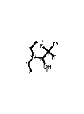 CCN(CC)C(O)C(F)(F)F